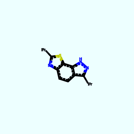 CC(C)c1nc2ccc3c(C(C)C)n[nH]c3c2s1